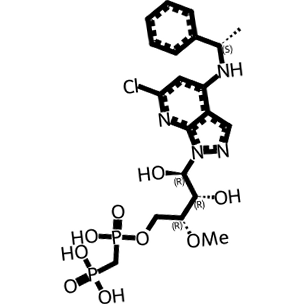 CO[C@H](COP(=O)(O)CP(=O)(O)O)[C@@H](O)[C@@H](O)n1ncc2c(N[C@@H](C)c3ccccc3)cc(Cl)nc21